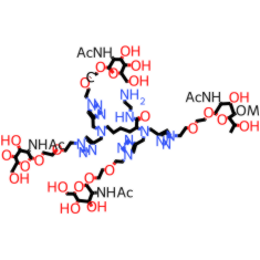 COC1C(O)C(NC(C)=O)C(OCCOCCn2cc(CN(Cc3cn(CCOCCOC4OC(CO)C(O)C(O)C4NC(C)=O)nn3)C(CCCCN(Cc3cn(CCOCCOC4OC(CO)C(O)C(O)C4NC(C)=O)nn3)Cc3cn(CCOCCOC4OC(CO)C(O)C(O)C4NC(C)=O)nn3)C(=O)NCCN)nn2)OC1C(C)O